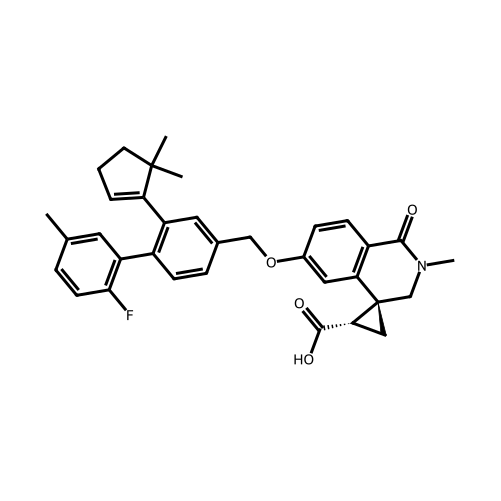 Cc1ccc(F)c(-c2ccc(COc3ccc4c(c3)[C@]3(C[C@@H]3C(=O)O)CN(C)C4=O)cc2C2=CCCC2(C)C)c1